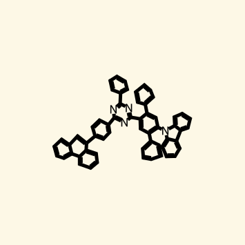 c1ccc(-c2nc(-c3ccc(-c4cc5ccccc5c5ccccc45)cc3)nc(-c3cc(-c4ccccc4)c(-n4c5ccccc5c5ccccc54)cc3-c3ccccc3)n2)cc1